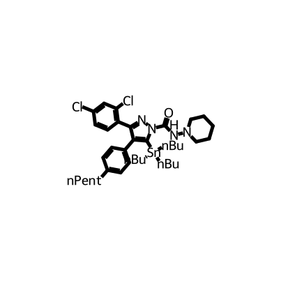 CCCCCc1ccc(-c2c(-c3ccc(Cl)cc3Cl)nn(C(=O)NN3CCCCC3)[c]2[Sn]([CH2]CCC)([CH2]CCC)[CH2]CCC)cc1